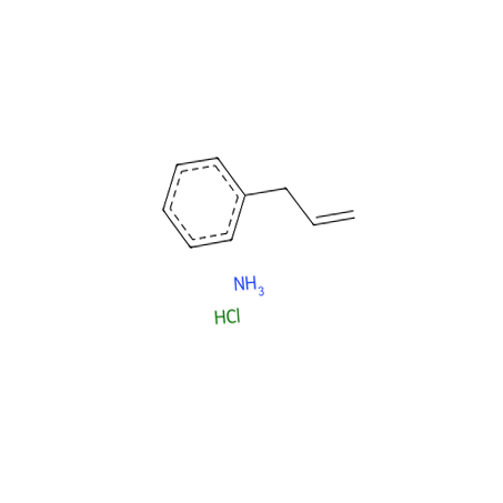 C=CCc1ccccc1.Cl.N